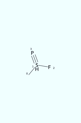 C[SH](F)#P